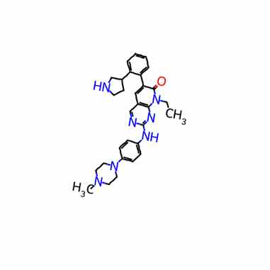 CCn1c(=O)c(-c2ccccc2C2CCNC2)cc2cnc(Nc3ccc(N4CCN(C)CC4)cc3)nc21